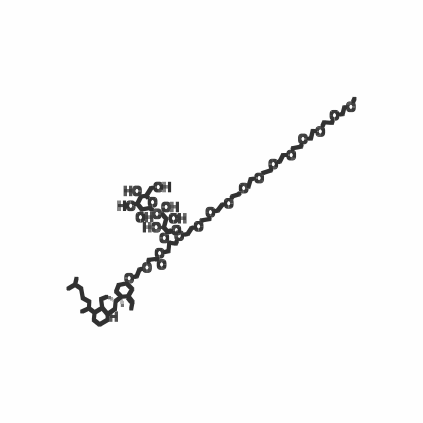 C/C=C1/C[C@@H](OCCOCC(=O)OCC(COCCOCCOCCOCCOCCOCCOCCOCCOCCOCCOCCOC)OC(=O)[C@H](O)[C@@H](O)[C@@H](O)OC2OC(CO)C(O)C(O)[C@H]2O)CC[C@]1(C)[C@H]1CCC2C(C(C)CCCC(C)C)CCC[C@H]2C1